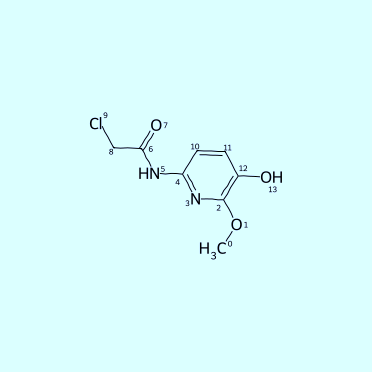 COc1nc(NC(=O)CCl)ccc1O